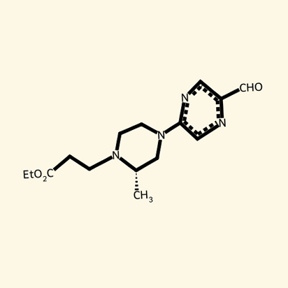 CCOC(=O)CCN1CCN(c2cnc(C=O)cn2)C[C@@H]1C